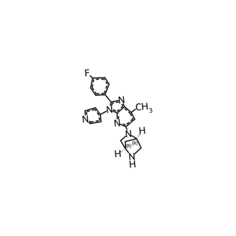 Cc1cc(N2C[C@H]3C[C@@H]2CN3)nc2c1nc(-c1ccc(F)cc1)n2-c1ccncc1